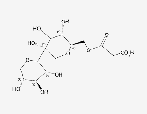 O=C(O)CC(=O)OC[C@H]1OC[C@@](O)(C2OC[C@@H](O)[C@H](O)[C@H]2O)[C](O)[C@@H]1O